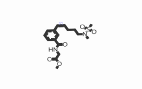 COC(=O)CNC(=O)c1cccc(/C=C\CCCN(C)S(C)(=O)=O)c1